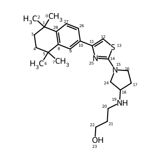 CC1(C)CCC(C)(C)c2cc(-c3csc(N4CCC(NCCCO)C4)n3)ccc21